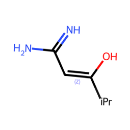 CC(C)/C(O)=C/C(=N)N